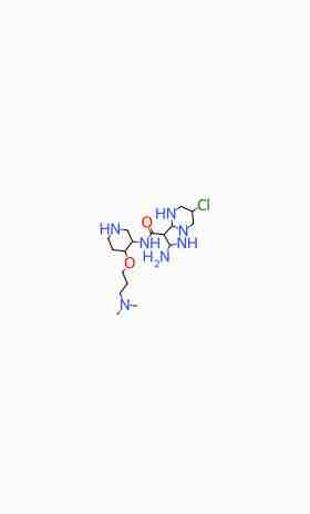 CN(C)CCCOC1CCNCC1NC(=O)C1C(N)NN2CC(Cl)CNC12